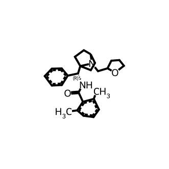 Cc1cccc(C)c1C(=O)N[C@H](c1ccccc1)C12CCC(CC1)N2CC1CCCO1